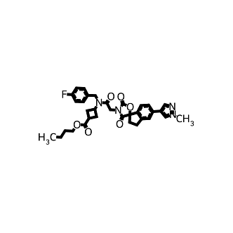 CCCCOC(=O)C1CC(N(Cc2ccc(F)cc2)C(=O)CN2C(=O)OC3(CCc4cc(-c5cnn(C)c5)ccc43)C2=O)C1